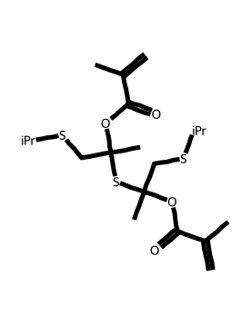 C=C(C)C(=O)OC(C)(CSC(C)C)SC(C)(CSC(C)C)OC(=O)C(=C)C